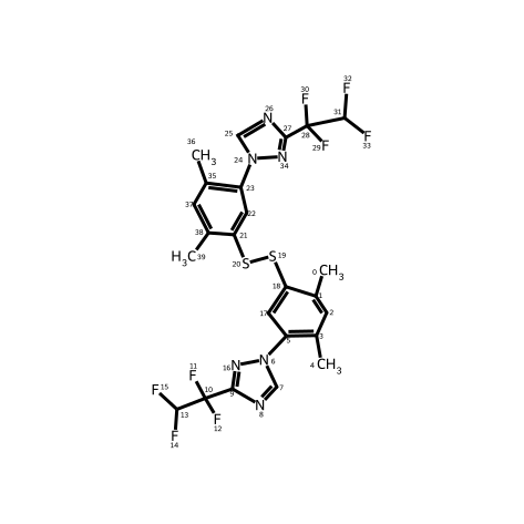 Cc1cc(C)c(-n2cnc(C(F)(F)C(F)F)n2)cc1SSc1cc(-n2cnc(C(F)(F)C(F)F)n2)c(C)cc1C